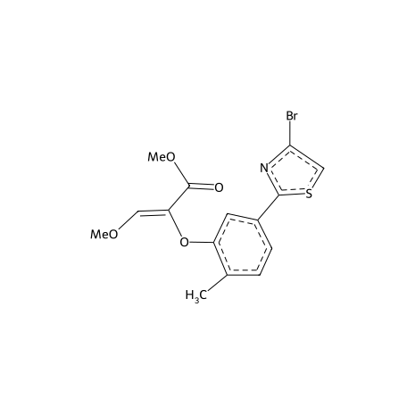 CO/C=C(\Oc1cc(-c2nc(Br)cs2)ccc1C)C(=O)OC